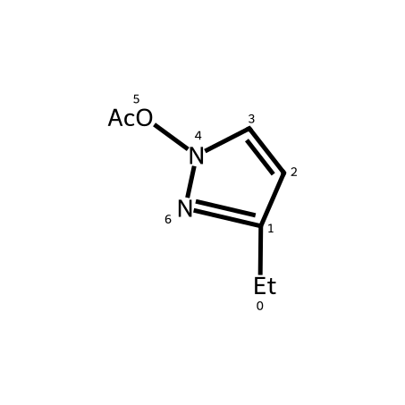 CCc1ccn(OC(C)=O)n1